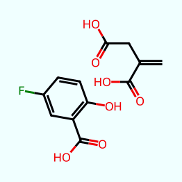 C=C(CC(=O)O)C(=O)O.O=C(O)c1cc(F)ccc1O